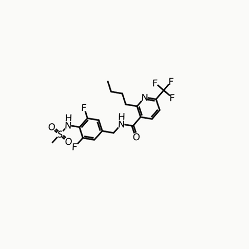 CCCCc1nc(C(F)(F)F)ccc1C(=O)NCc1cc(F)c(NS(C)(=O)=O)c(F)c1